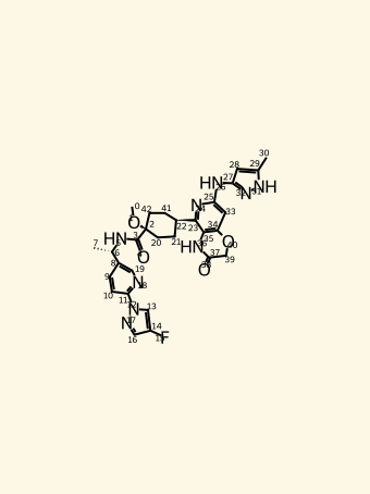 CO[C@]1(C(=O)N[C@@H](C)c2ccc(-n3cc(F)cn3)nc2)CC[C@H](c2nc(Nc3cc(C)[nH]n3)cc3c2NC(=O)CO3)CC1